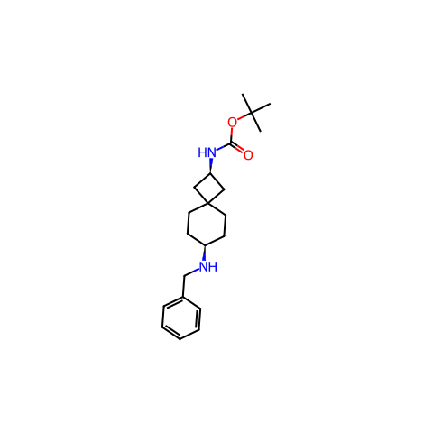 CC(C)(C)OC(=O)N[C@H]1CC2(CC[C@H](NCc3ccccc3)CC2)C1